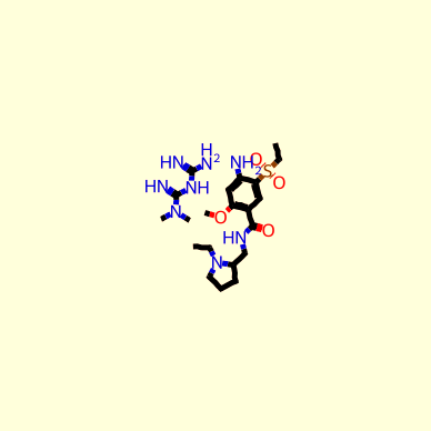 CCN1CCCC1CNC(=O)c1cc(S(=O)(=O)CC)c(N)cc1OC.CN(C)C(=N)NC(=N)N